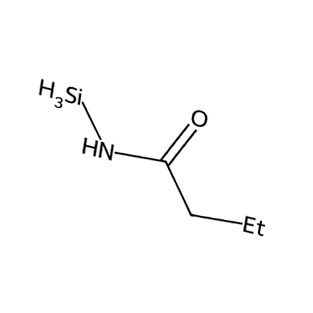 CCCC(=O)N[SiH3]